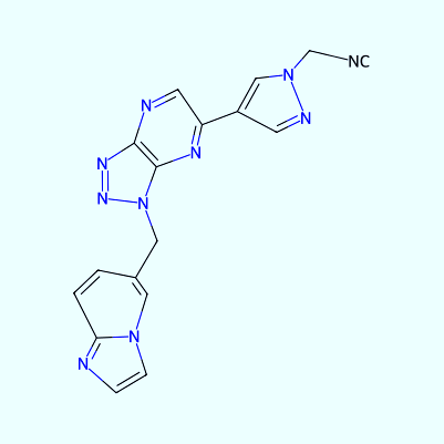 [C-]#[N+]Cn1cc(-c2cnc3nnn(Cc4ccc5nccn5c4)c3n2)cn1